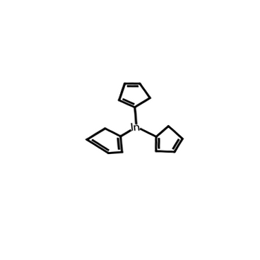 C1=CC[C]([In]([C]2=CC=CC2)[C]2=CC=CC2)=C1